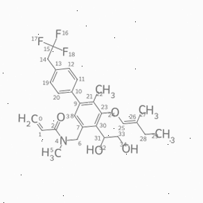 C=CC(=O)N(C)Cc1cc(-c2ccc(CC(F)(F)F)cc2)c(C)c(O/C=C(\C)CC)c1C(O)CO